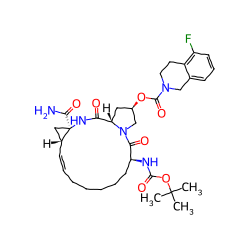 CC(C)(C)OC(=O)N[C@H]1CCCCC/C=C\[C@@H]2C[C@@]2(C(N)=O)NC(=O)[C@@H]2C[C@@H](OC(=O)N3CCc4c(F)cccc4C3)CN2C1=O